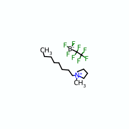 CCCCCCCC[N+]1(C)CCCC1.F[B-](F)(F)C(F)(F)C(F)(F)F